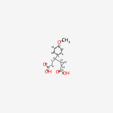 COc1ccc(C(CCC(=O)O)C2CC2C(=O)O)cc1